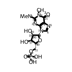 CNc1nc2c(ncn2[C@@H]2O[C@H](COP(=O)(O)O)[C@@H](O)[C@H]2O)c(=O)n1C